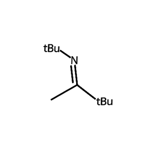 CC(=NC(C)(C)C)C(C)(C)C